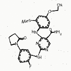 CSc1cc(OCC#N)ccc1Nc1nc(Nc2cc(N3CCCC3=O)ccc2F)ncc1C(N)=O